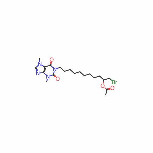 CC(=O)OC(CBr)CCCCCCCCCn1c(=O)c2c(ncn2C)n(C)c1=O